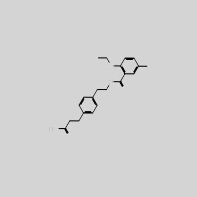 CCOc1ccc(C)cc1C(=O)NCCc1ccc(CCC(=O)O)cc1